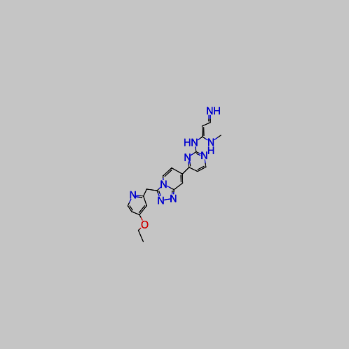 CCOc1ccnc(Cc2nnc3cc(-c4ccnc(N/C(=C/C=N)NC)n4)ccn23)c1